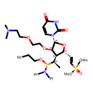 COP(=O)(/C=C/[C@H]1O[C@@H](n2ccc(=O)[nH]c2=O)[C@H](OCCOCCN(C)C)[C@@H]1[C@@H](C)P(OCCC#N)N(C(C)C)C(C)C)OC